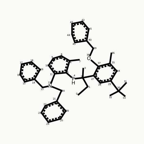 CCC(C)(Pc1c(C)cccc1N(Cc1ccccc1)Cc1ccccc1)c1cc(C(C)(C)C)cc(C)c1OCc1ccccc1